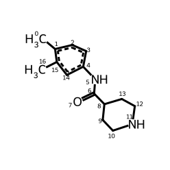 Cc1ccc(NC(=O)C2CCNCC2)cc1C